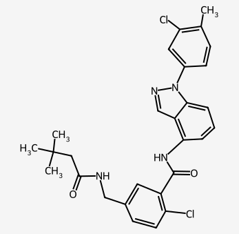 Cc1ccc(-n2ncc3c(NC(=O)c4cc(CNC(=O)CC(C)(C)C)ccc4Cl)cccc32)cc1Cl